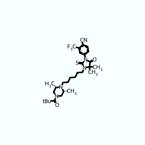 C[C@@H]1CN(C(=O)C(C)(C)C)C[C@H](C)N1CCCCCCN1C(=S)N(c2ccc(C#N)c(C(F)(F)F)c2)C(=O)C1(C)C